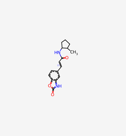 CC1CCCC1NC(=O)/C=C/c1ccc2oc(=O)[nH]c2c1